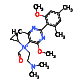 COc1cc(C)cc(C)c1-c1nc(C)c([N+](C=O)(CCN(C)C)C2CC2)c(OC)n1